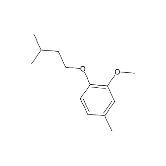 COc1cc(C)ccc1OCCC(C)C